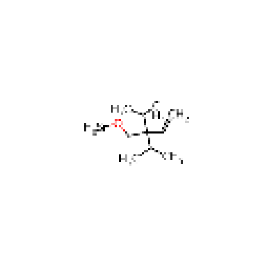 C=CC(CO[SiH3])(C(C)C)C(C)C